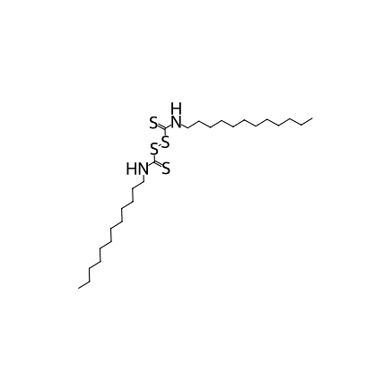 CCCCCCCCCCCCNC(=S)SSC(=S)NCCCCCCCCCCCC